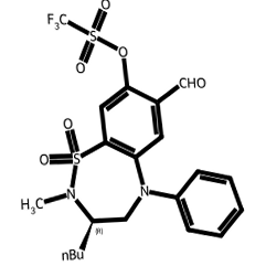 CCCC[C@@H]1CN(c2ccccc2)c2cc(C=O)c(OS(=O)(=O)C(F)(F)F)cc2S(=O)(=O)N1C